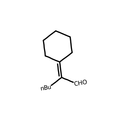 CCCCC(C=O)=C1CCCCC1